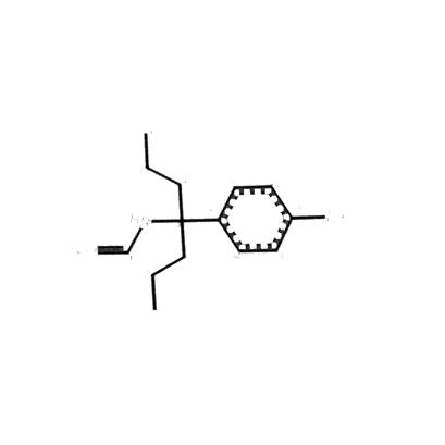 CCCC(CCC)(NC=O)c1ccc(I)cc1